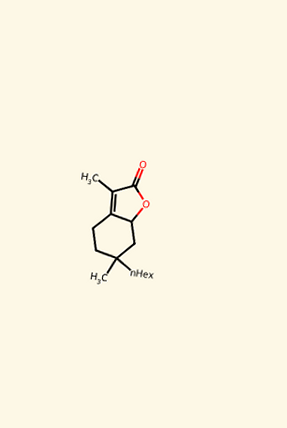 CCCCCCC1(C)CCC2=C(C)C(=O)OC2C1